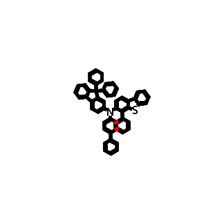 C1=CCCC(C2(c3ccccc3)c3ccccc3-c3ccc(N(c4ccc(-c5ccccc5)cc4)c4ccc5c(sc6ccccc65)c4-c4ccccc4)cc32)=C1